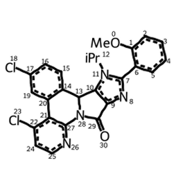 COc1ccccc1-c1nc2c(n1C(C)C)C1c3ccc(Cl)cc3-c3c(Cl)ccnc3N1C2=O